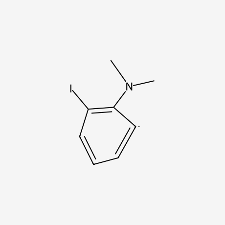 CN(C)c1[c]cccc1I